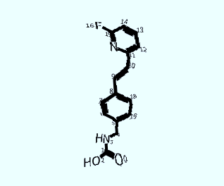 O=C(O)NCc1ccc(C=Cc2cccc(F)n2)cc1